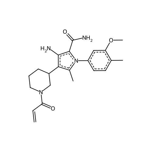 C=CC(=O)N1CCCC(c2c(N)c(C(N)=O)n(-c3ccc(C)c(OC)c3)c2C)C1